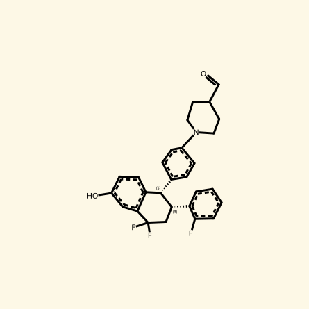 O=CC1CCN(c2ccc([C@H]3c4ccc(O)cc4C(F)(F)C[C@H]3c3ccccc3F)cc2)CC1